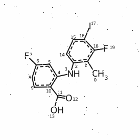 Cc1c(Nc2cc(F)ccc2C(=O)O)ccc(I)c1F